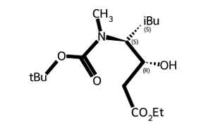 CCOC(=O)C[C@@H](O)[C@H]([C@@H](C)CC)N(C)C(=O)OC(C)(C)C